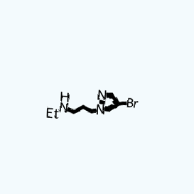 CCNCCCn1cc(Br)cn1